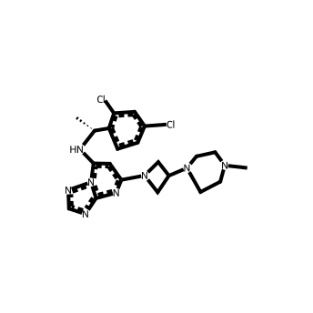 C[C@@H](Nc1cc(N2CC(N3CCN(C)CC3)C2)nc2ncnn12)c1ccc(Cl)cc1Cl